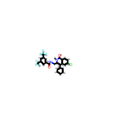 Cn1c(CNC(=O)c2cc(C(F)(F)F)cc(C(F)(F)F)c2)c(-c2ccccc2)c2cc(Cl)ccc2c1=O